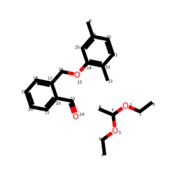 CCOC(C)OCC.Cc1ccc(C)c(OCc2ccccc2C=O)c1